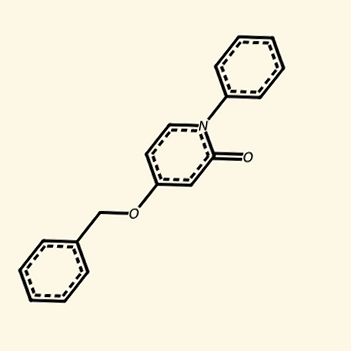 O=c1cc(OCc2ccccc2)ccn1-c1ccccc1